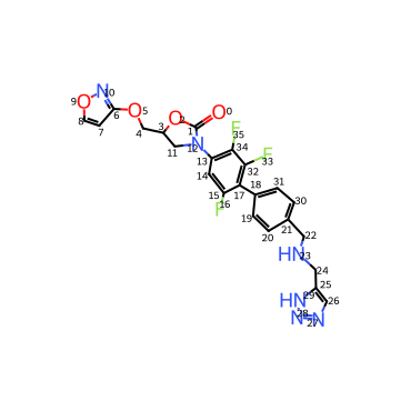 O=C1OC(COc2ccon2)CN1c1cc(F)c(-c2ccc(CNCc3cnn[nH]3)cc2)c(F)c1F